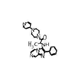 CC(Nc1c(-c2ccccc2)nc2cnccn12)C(=O)N1CCN(c2ccncc2)CC1